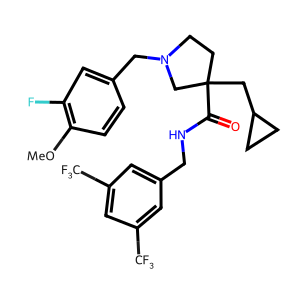 COc1ccc(CN2CCC(CC3CC3)(C(=O)NCc3cc(C(F)(F)F)cc(C(F)(F)F)c3)C2)cc1F